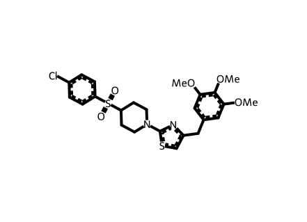 COc1cc(Cc2csc(N3CCC(S(=O)(=O)c4ccc(Cl)cc4)CC3)n2)cc(OC)c1OC